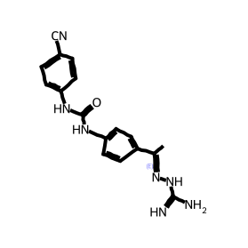 C/C(=N\NC(=N)N)c1ccc(NC(=O)Nc2ccc(C#N)cc2)cc1